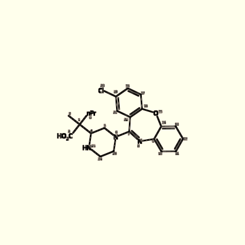 CCCC(C)(C(=O)O)C1CN(C2=Nc3ccccc3Oc3ccc(Cl)cc32)CCN1